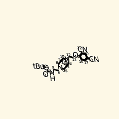 CC(C)(C)OC(=O)NCCN1CC2CN(CCOc3ccc(C#N)cc3C#N)CC(C1)O2